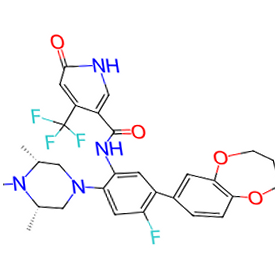 C[C@@H]1CN(c2cc(F)c(-c3ccc4c(c3)OCCCO4)cc2NC(=O)c2c[nH]c(=O)cc2C(F)(F)F)C[C@H](C)N1C